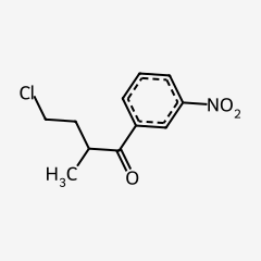 CC(CCCl)C(=O)c1cccc([N+](=O)[O-])c1